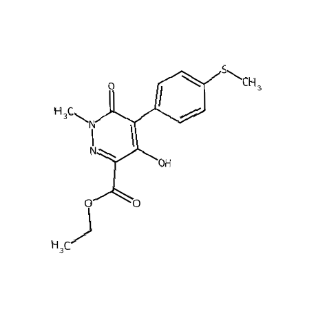 CCOC(=O)c1nn(C)c(=O)c(-c2ccc(SC)cc2)c1O